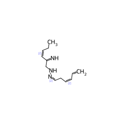 C=C/C=C\C/C=N\NCC(=N)/C=C\CC